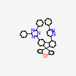 c1ccc(-c2ccc(-c3cccc4c3-c3cc(-c5nc(-c6ccccc6)nc(-c6ccccc6)n5)ccc3C43c4ccccc4Oc4ccccc43)nn2)cc1